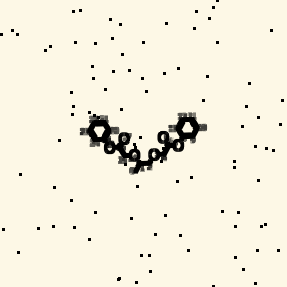 CC(COCC(=O)Oc1ccccc1)OCC(=O)Oc1ccccc1